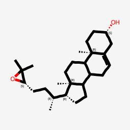 C[C@H](CC[C@@H]1OC1(C)C)[C@H]1CCC2C3CC=C4C[C@@H](O)CC[C@]4(C)C3CC[C@@]21C